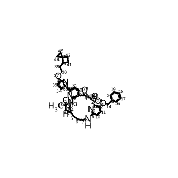 CC1(C)C[C@@H]2CCCNc3ccc(OCc4ccccc4)c(n3)S(=O)(=O)NC(=O)c3ccc(-n4ccc(OCCC5CCC56CC6)n4)nc3N1C2